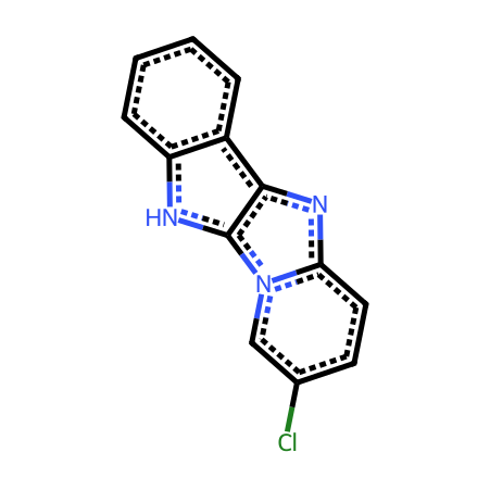 Clc1ccc2nc3c4ccccc4[nH]c3n2c1